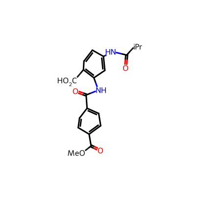 COC(=O)c1ccc(C(=O)Nc2cc(NC(=O)C(C)C)ccc2C(=O)O)cc1